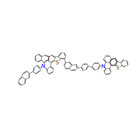 c1ccc(N(c2ccc(-c3ccc(-c4ccc5ccc(-c6cccc7c6sc6c(-c8ccccc8N(c8ccc(-c9ccc%10ccccc%10c9)cc8)c8cccc9ccccc89)cccc67)cc5c4)cc3)cc2)c2cccc3ccccc23)c(-c2cccc3c2sc2ccccc23)c1